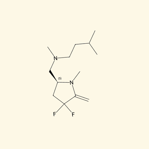 C=C1N(C)[C@H](CN(C)CCC(C)C)CC1(F)F